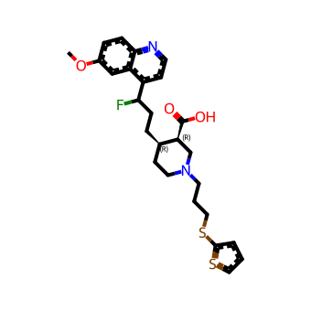 COc1ccc2nccc(C(F)CC[C@@H]3CCN(CCCSc4cccs4)C[C@@H]3C(=O)O)c2c1